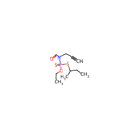 C#CCN(C=O)P(=S)(OCC)SC(C)CC